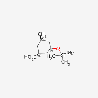 C[C@H]1C[C@@H](O[Si](C)(C)C(C)(C)C)C[C@@H](C(=O)O)C1